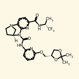 C[C@@H](NC(=O)c1ccc2c(n1)N(C(=O)Nc1cccc(OC[C@@H]3COC(C)(C)O3)n1)[C@H]1CCN2C1)C(F)(F)F